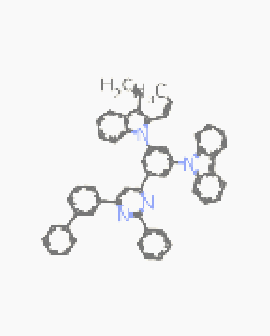 C=Cc1c(/C=C\C)n(-c2cc(-c3cc(-c4cccc(-c5ccccc5)c4)nc(-c4ccccc4)n3)cc(-n3c4ccccc4c4ccccc43)c2)c2ccccc12